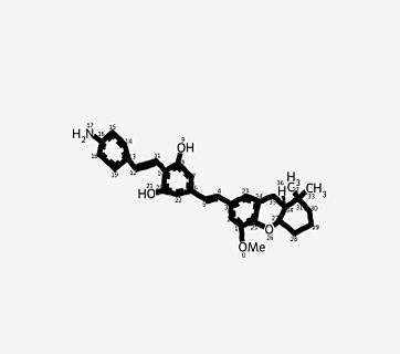 COc1cc(/C=C/c2cc(O)c(/C=C/c3ccc(N)cc3)c(O)c2)cc2c1OC1CCCC(C)(C)[C@H]1C2